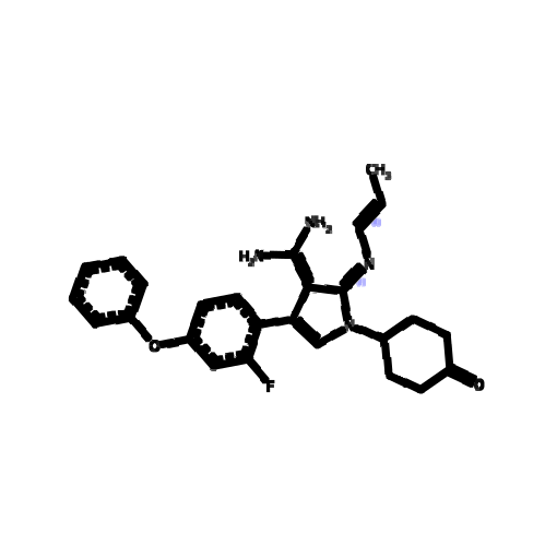 C/C=C/N=C1\C(=C(N)N)C(c2ccc(Oc3ccccc3)cc2F)=CN1C1CCC(=O)CC1